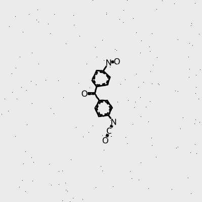 O=C=Nc1ccc(C(=O)c2ccc(N=O)cc2)cc1